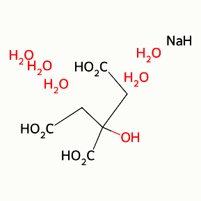 O.O.O.O.O.O=C(O)CC(O)(CC(=O)O)C(=O)O.[NaH]